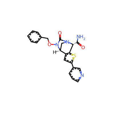 NC(=O)[C@@H]1c2sc(-c3cccnc3)cc2[C@@H]2CN1C(=O)N2OCc1ccccc1